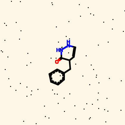 O=C1NNC=CC1Cc1ccccc1